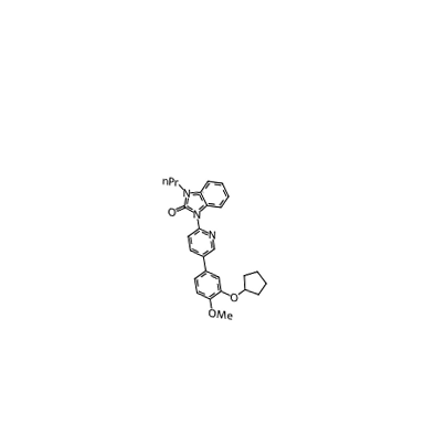 CCCn1c(=O)n(-c2ccc(-c3ccc(OC)c(OC4CCCC4)c3)cn2)c2ccccc21